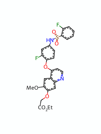 CCOC(=O)COc1cc2nccc(Oc3ccc(NS(=O)(=O)c4ccccc4F)cc3F)c2cc1OC